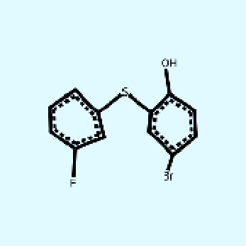 Oc1ccc(Br)cc1Sc1cccc(F)c1